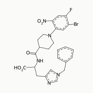 O=C(NC(Cc1cn(Cc2ccccc2)cn1)C(=O)O)C1CCN(c2cc(Br)c(F)cc2[N+](=O)[O-])CC1